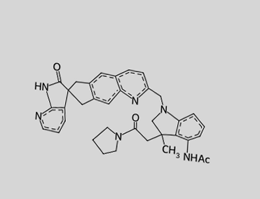 CC(=O)Nc1cccc2c1C(C)(CC(=O)N1CCCC1)CN2Cc1ccc2cc3c(cc2n1)CC1(C3)C(=O)Nc2ncccc21